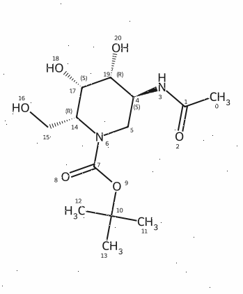 CC(=O)N[C@H]1CN(C(=O)OC(C)(C)C)[C@H](CO)[C@H](O)[C@@H]1O